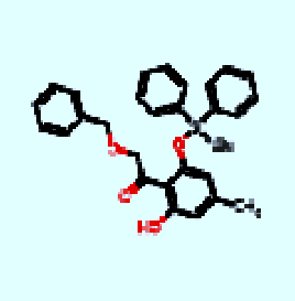 Cc1cc(O)c(C(=O)COCc2ccccc2)c(O[Si](c2ccccc2)(c2ccccc2)C(C)(C)C)c1